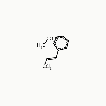 CC(=O)O.ClC(Cl)(Cl)C=Cc1ccccc1